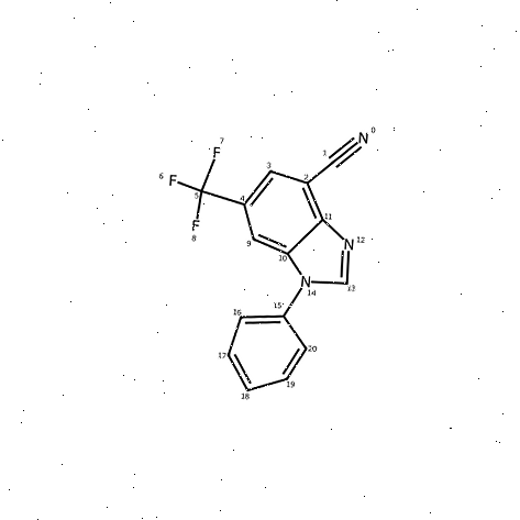 N#Cc1cc(C(F)(F)F)cc2c1ncn2-c1ccccc1